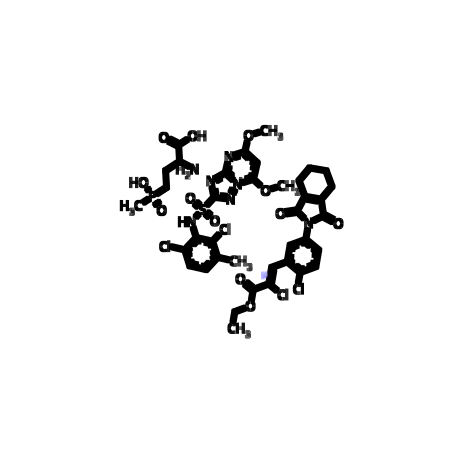 CCOC(=O)/C(Cl)=C/c1cc(N2C(=O)C3=C(CCCC3)C2=O)ccc1Cl.COc1cc(OC)n2nc(S(=O)(=O)Nc3c(Cl)ccc(C)c3Cl)nc2n1.CP(=O)(O)CCC(N)C(=O)O